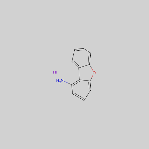 I.Nc1cccc2oc3ccccc3c12